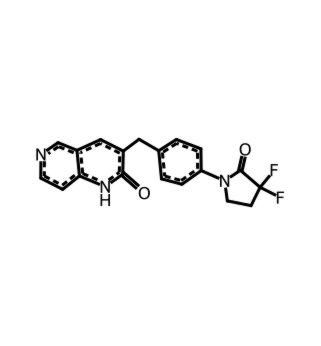 O=C1N(c2ccc(Cc3cc4cnccc4[nH]c3=O)cc2)CCC1(F)F